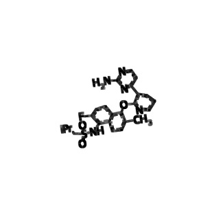 Cc1ccc2c(NS(=O)(=O)CC(C)C)c(F)ccc2c1Oc1ncccc1-c1ccnc(N)n1